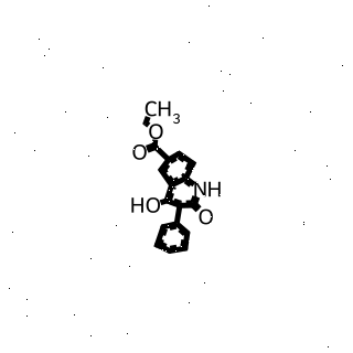 CCOC(=O)c1ccc2[nH]c(=O)c(-c3ccccc3)c(O)c2c1